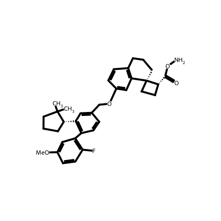 COc1ccc(F)c(-c2ccc(COc3ccc4c(c3)[C@]3(CCC4)CC[C@H]3C(=O)ON)cc2[C@@H]2CCCC2(C)C)c1